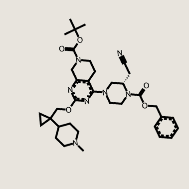 CN1CCC(C2(COc3nc4c(c(N5CCN(C(=O)OCc6ccccc6)[C@@H](CC#N)C5)n3)CCN(C(=O)OC(C)(C)C)C4)CC2)CC1